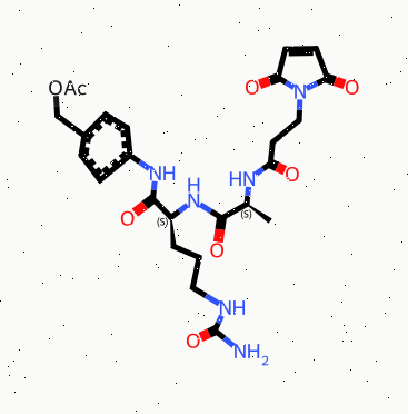 CC(=O)OCc1ccc(NC(=O)[C@H](CCCNC(N)=O)NC(=O)[C@H](C)NC(=O)CCN2C(=O)C=CC2=O)cc1